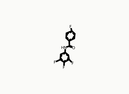 O=C(Nc1cc(F)c(F)c(F)c1)c1ccc(F)cc1